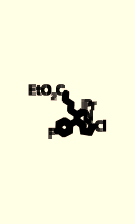 CCOC(=O)/C=C/C=C/c1c(C(C)C)nn2c(Cl)ccc2c1-c1ccc(F)cc1